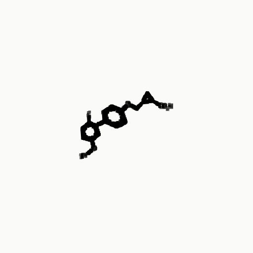 CC(C)Oc1ccc(F)c(-c2ccc(OC[C@H]3C[C@H]3C(=O)O)cc2)c1